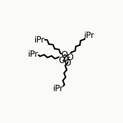 CC(C)CCCCCC[O][Zr]([O]CCCCCCC(C)C)([O]CCCCCCC(C)C)[O]CCCCCCC(C)C